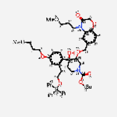 COCCCOc1ccc([C@@]2(O)CCN(C(=O)OC(C)(C)C)C[C@@H]2OCc2ccc3c(c2)N(CCCOC)C(=O)CO3)c(CCO[Si](C(C)C)(C(C)C)C(C)C)c1